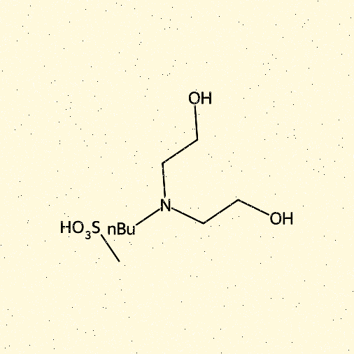 CCCCN(CCO)CCO.CS(=O)(=O)O